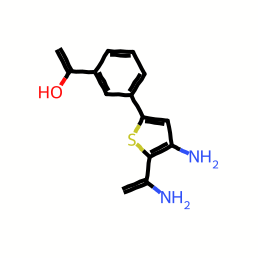 C=C(O)c1cccc(-c2cc(N)c(C(=C)N)s2)c1